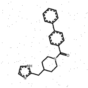 O=C(c1ccc(-c2ccccc2)cc1)N1CCC(Cc2ncc[nH]2)CC1